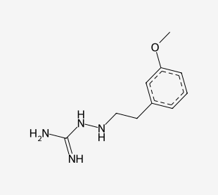 COc1cccc(CCNNC(=N)N)c1